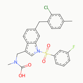 Cc1ccc(Cc2ccc3c(CN(C)C(=O)O)cn(S(=O)(=O)c4cccc(F)c4)c3c2)c(Cl)c1